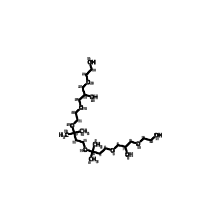 CC(C)(CCOCC(O)COCCO)OCCC(C)(C)OCCOCC(O)COCCO